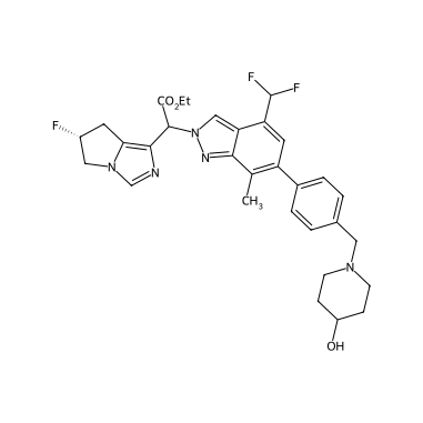 CCOC(=O)C(c1ncn2c1C[C@@H](F)C2)n1cc2c(C(F)F)cc(-c3ccc(CN4CCC(O)CC4)cc3)c(C)c2n1